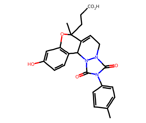 Cc1ccc(-n2c(=O)n3n(c2=O)C2C(=CC3)C(C)(CCC(=O)O)Oc3cc(O)ccc32)cc1